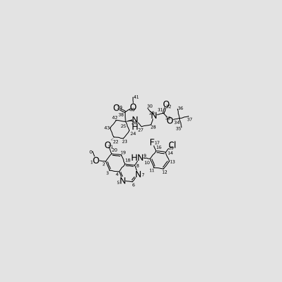 COc1cc2ncnc(Nc3cccc(Cl)c3F)c2cc1O[C@H]1CC[C@@](NCCN(C)C(=O)OC(C)(C)C)(C(=O)OC)CC1